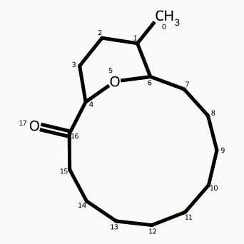 CC1CCC2OC1CCCCCCCCCC2=O